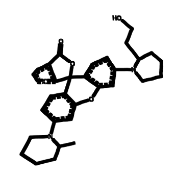 CC1CCCCN1c1ccc2c(c1)Oc1cc(N3CCCCC3CCO)ccc1C21OC(=O)c2ccccc21